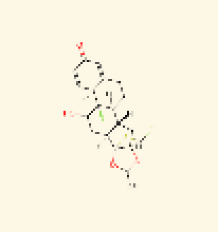 CCCC1O[C@@H]2C[C@H]3[C@@H]4CCC5=CC(=O)C=C[C@]5(C)[C@@]4(F)[C@@H](O)C[C@]3(C)[C@]2(SCF)O1